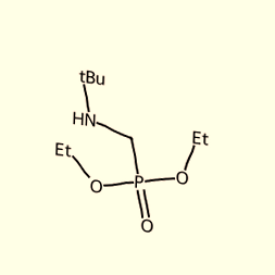 CCOP(=O)(CNC(C)(C)C)OCC